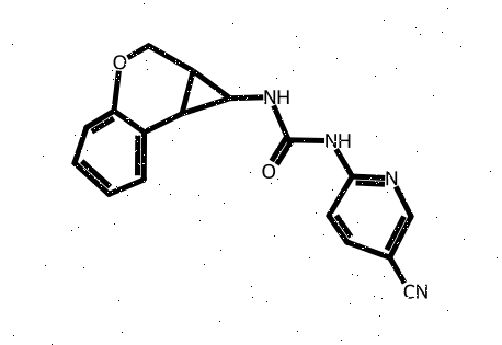 N#Cc1ccc(NC(=O)NC2C3COc4ccccc4C32)nc1